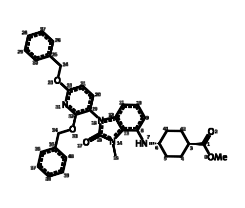 COC(=O)[C@H]1CC[C@H](Nc2cccc3c2n(C)c(=O)n3-c2ccc(OCc3ccccc3)nc2OCc2ccccc2)CC1